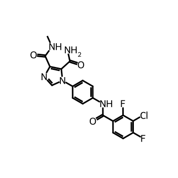 CNC(=O)c1ncn(-c2ccc(NC(=O)c3ccc(F)c(Cl)c3F)cc2)c1C(N)=O